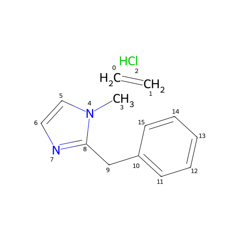 C=C.Cl.Cn1ccnc1Cc1ccccc1